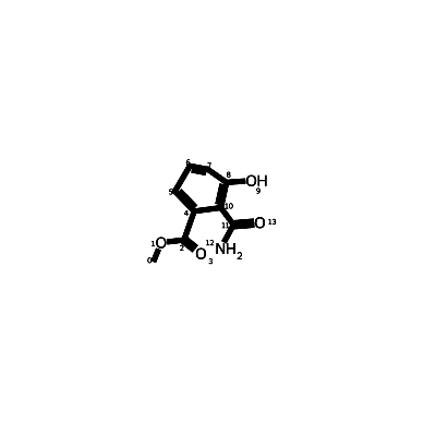 COC(=O)c1cccc(O)c1C(N)=O